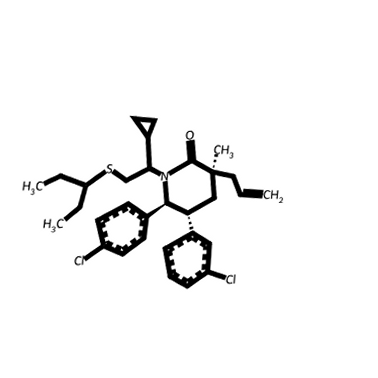 C=CC[C@@]1(C)C[C@H](c2cccc(Cl)c2)[C@@H](c2ccc(Cl)cc2)N(C(CSC(CC)CC)C2CC2)C1=O